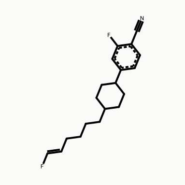 N#Cc1ccc(C2CCC(CCCCC=CF)CC2)cc1F